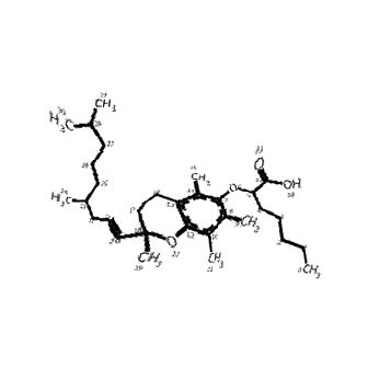 CCCCCC(Oc1c(C)c(C)c2c(c1C)CCC(C)(C=CCC(C)CCCC(C)C)O2)C(=O)O